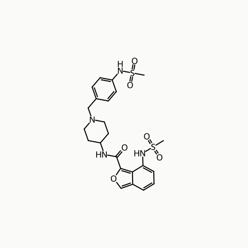 CS(=O)(=O)Nc1ccc(CN2CCC(NC(=O)c3occ4cccc(NS(C)(=O)=O)c34)CC2)cc1